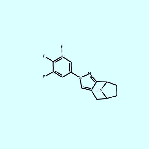 Fc1cc(-n2cc3c(n2)C2CCC(C3)N2)cc(F)c1F